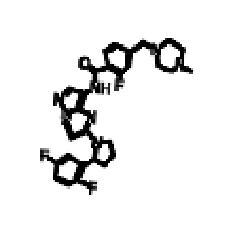 CN1CCN(Cc2ccc(C(=O)Nc3cnn4ccc(N5CCCC5c5cc(F)ccc5F)nc34)c(F)c2)CC1